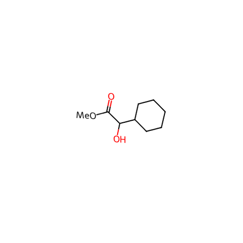 COC(=O)C(O)C1CCCCC1